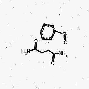 NC(=O)CCC(N)=O.O=[Si]c1ccccc1